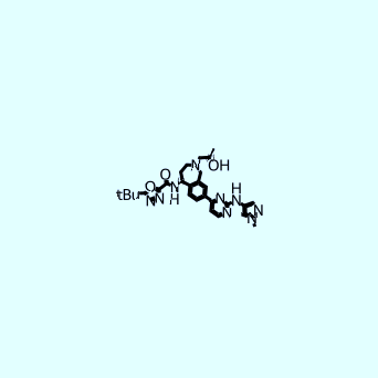 C[C@@H](O)CN1CC[C@H](NC(=O)c2nnc(C(C)(C)C)o2)c2ccc(-c3ccnc(Nc4cnn(C)c4)n3)cc2C1